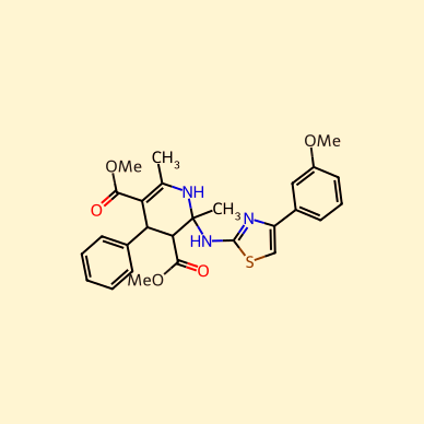 COC(=O)C1=C(C)NC(C)(Nc2nc(-c3cccc(OC)c3)cs2)C(C(=O)OC)C1c1ccccc1